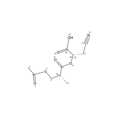 CC(=O)SC[C@@H](C)C(=O)O[C@@H](CC#N)C(=O)O